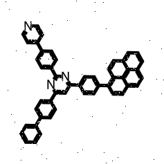 c1ccc(-c2ccc(-c3cc(-c4ccc(-c5ccc6ccc7cccc8ccc5c6c78)cc4)nc(-c4ccc(-c5ccncc5)cc4)n3)cc2)cc1